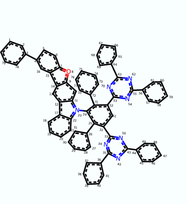 c1ccc(-c2ccc3oc4cc5c(cc4c3c2)c2ccccc2n5-c2c(-c3ccccc3)c(-c3nc(-c4ccccc4)nc(-c4ccccc4)n3)cc(-c3nc(-c4ccccc4)nc(-c4ccccc4)n3)c2-c2ccccc2)cc1